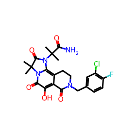 CC(C)(C(N)=O)N1C(=O)C(C)(C)n2c1c1c(c(O)c2=O)C(=O)N(Cc2ccc(F)c(Cl)c2)CC1